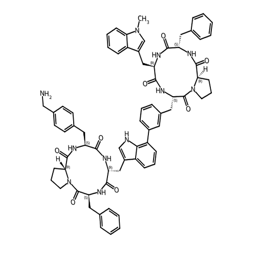 Cn1cc(C[C@H]2NC(=O)[C@H](Cc3ccccc3)NC(=O)[C@H]3CCCN3C(=O)[C@H](Cc3cccc(-c4cccc5c(C[C@H]6NC(=O)[C@H](Cc7ccc(CN)cc7)NC(=O)[C@H]7CCCN7C(=O)[C@H](Cc7ccccc7)NC6=O)c[nH]c45)c3)NC2=O)c2ccccc21